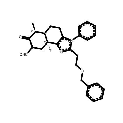 C[C@@H]1C(=O)C(C=O)C[C@]2(C)c3nc(CCOCc4ccccc4)n(-c4ccccc4)c3CCC12